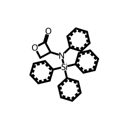 O=C1OCC1N(c1ccccc1)[Si](c1ccccc1)(c1ccccc1)c1ccccc1